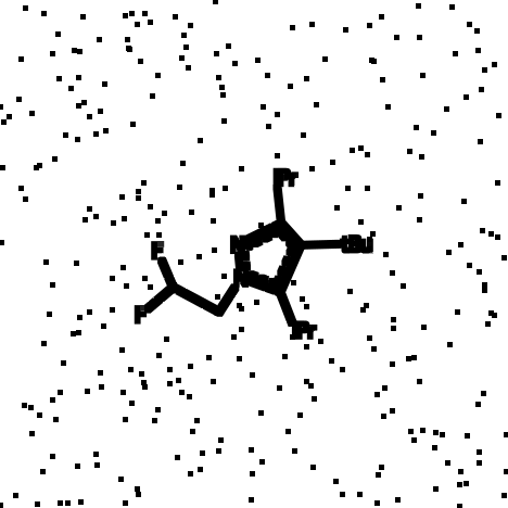 CC(C)c1nn(CC(F)F)c(C(C)C)c1C(C)(C)C